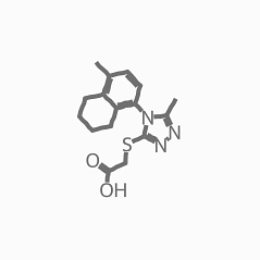 Cc1ccc(-n2c(C)nnc2SCC(=O)O)c2c1CCCC2